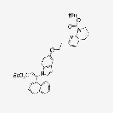 CCOC(=O)/C=C(\c1cccc2ccccc12)n1ccc2cc(OCCc3ccc4c(n3)N(C(=O)OC(C)(C)C)CCC4)ccc21